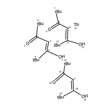 CC(C)(C)C(=O)/C=C(/O)C(C)(C)C.CC(C)(C)C(=O)/C=C(/O)C(C)(C)C.CC(C)(C)C(=O)/C=C(/O)C(C)(C)C.[Tb]